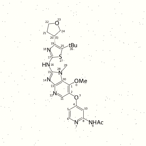 COc1c(Oc2ccnc(NC(C)=O)c2)cnc2nc(Nc3nc([C@@H]4CCOC4)c(C(C)(C)C)s3)n(C)c12